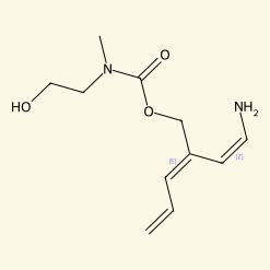 C=C/C=C(\C=C/N)COC(=O)N(C)CCO